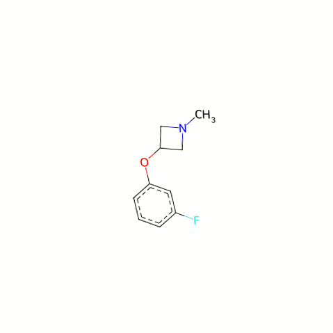 CN1CC(Oc2cccc(F)c2)C1